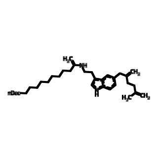 C=C(C)CCC(=C)Cc1ccc2[nH]cc(CCNC(=C)CCCCCCCCCCCCCCCCCCC)c2c1